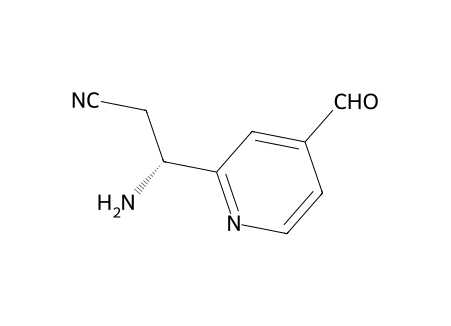 N#CC[C@@H](N)c1cc(C=O)ccn1